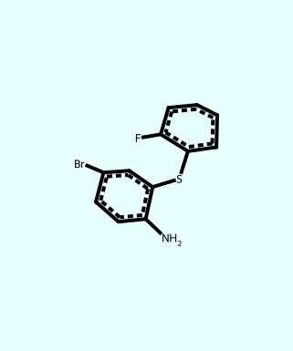 Nc1ccc(Br)cc1Sc1ccccc1F